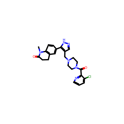 CN1C(=O)CCc2cc(-c3[nH]ncc3CN3CCN(C(=O)c4ncccc4Cl)CC3)ccc21